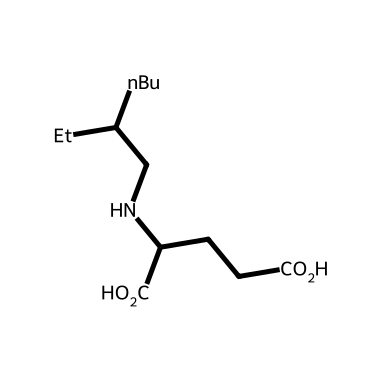 CCCCC(CC)CNC(CCC(=O)O)C(=O)O